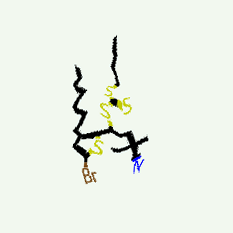 CCCCCCc1cc(Br)sc1C(CC(C)(C)C#N)SC(=S)SCCCC